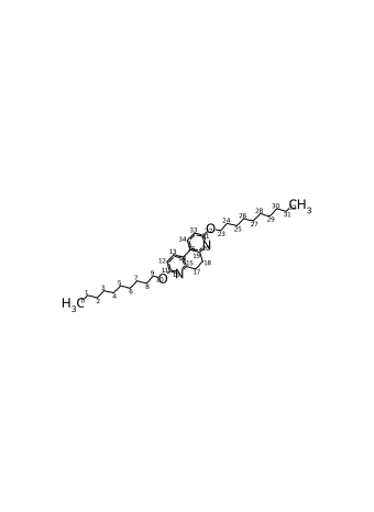 CCCCCCCCCCOc1ccc2c(n1)CCc1nc(OCCCCCCCCCC)ccc1-2